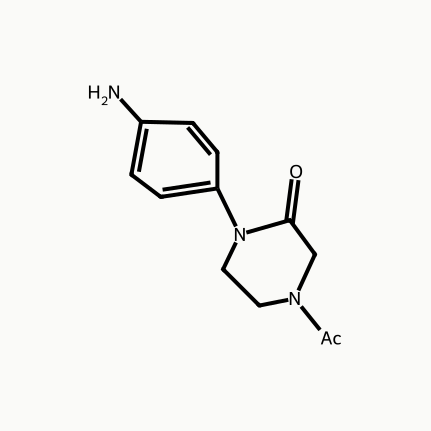 CC(=O)N1CCN(c2ccc(N)cc2)C(=O)C1